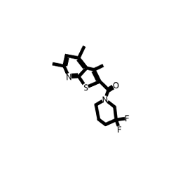 Cc1cc(C)c2c(C)c(C(=O)N3CCCC(F)(F)C3)sc2n1